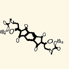 CN(CC(=O)C1C(=O)c2cc3c(cc2C1=O)C(=O)C(C(=O)CN(C)C(=O)OC(C)(C)C)C3=O)C(=O)OC(C)(C)C